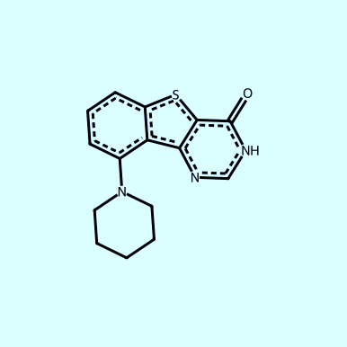 O=c1[nH]cnc2c1sc1cccc(N3CCCCC3)c12